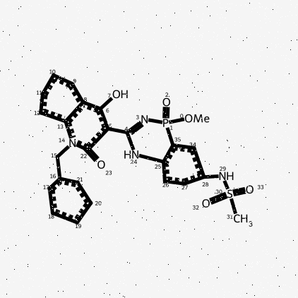 COP1(=O)N=C(c2c(O)c3ccccc3n(Cc3ccccc3)c2=O)Nc2ccc(NS(C)(=O)=O)cc21